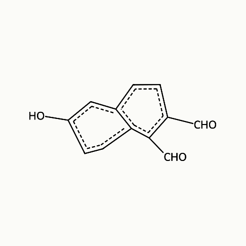 O=Cc1ccc2cc(O)ccc2c1C=O